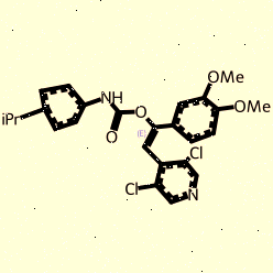 COc1ccc(/C(=C\c2c(Cl)cncc2Cl)OC(=O)Nc2ccc(C(C)C)cc2)cc1OC